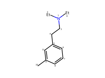 CCN(CC)CCc1cccc(C)c1